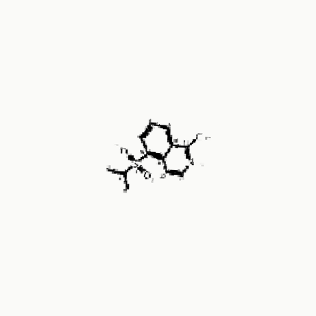 CC(C)S(=O)(=O)c1cccc2c(Cl)nccc12